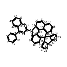 c1ccc(-c2nc(-n3c4cccc5c4c4c6c(cccc6ccc43)C53c4cccnc4-c4ncccc43)nc3ccccc23)cc1